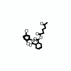 CC(=O)CCCC(=O)OC(=O)C1CC=CCC1C(=O)Nc1cc(Cl)ccc1Cl